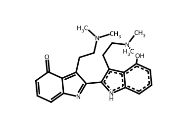 CN(C)CCC1=C2C(=O)C=CC=C2N=C1c1[nH]c2cccc(O)c2c1CCN(C)C